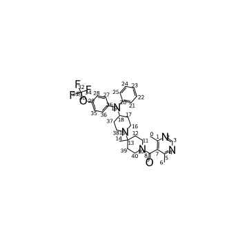 Cc1ncnc(C)c1C(=O)N1CCC(C)(N2CCC(N(c3ccccc3)c3ccc(OC(F)(F)F)cc3)CC2)CC1